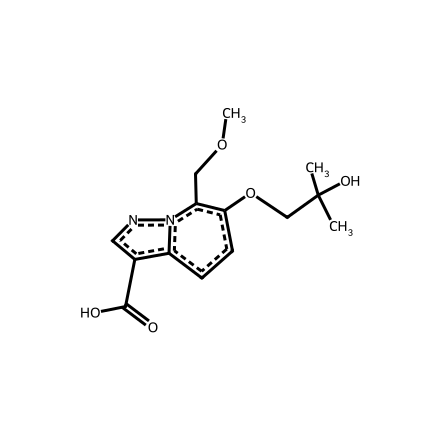 COCc1c(OCC(C)(C)O)ccc2c(C(=O)O)cnn12